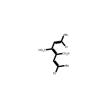 CCCCC(=C/C(C(=O)O)=C(/C=C(CC)CCCC)C(=O)O)CC